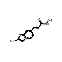 Cc1cn2ccc(/C=C/C(=O)NO)cc2n1